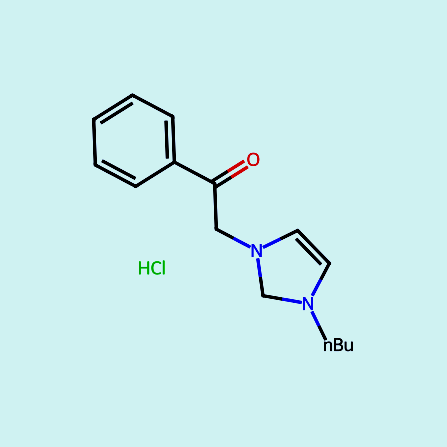 CCCCN1C=CN(CC(=O)c2ccccc2)C1.Cl